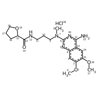 COc1cc2nc(N(C)CCCNC(=O)C3CCCO3)nc(N)c2cc1OC.Cl